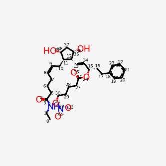 CCNC(=O)CCC/C=C\C[C@@H]1[C@@H](/C=C/[C@H](CCc2ccccc2)OC(=O)CCCCO[N+](=O)[O-])[C@@H](O)C[C@@H]1O